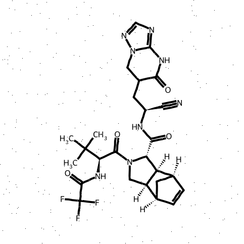 CC(C)(C)[C@H](NC(=O)C(F)(F)F)C(=O)N1C[C@H]2[C@@H]([C@H]1C(=O)N[C@H](C#N)CC1Cn3ncnc3NC1=O)[C@H]1C=C[C@@H]2C1